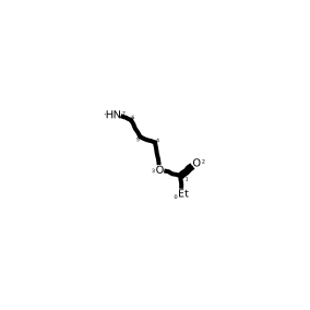 CCC(=O)OCCC[NH]